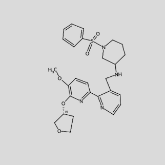 COc1ccc(-c2ncccc2CNC2CCCN(S(=O)(=O)c3ccccc3)C2)nc1O[C@@H]1CCOC1